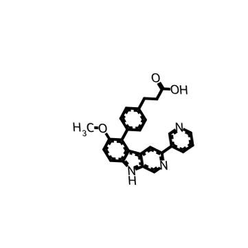 COc1ccc2[nH]c3cnc(-c4cccnc4)cc3c2c1-c1ccc(CCC(=O)O)cc1